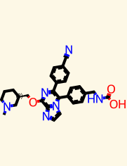 CN1CCC[C@@H](COc2nc(-c3ccc(C#N)cc3)c(-c3ccc(CNC(=O)O)cc3)n3ccnc23)C1